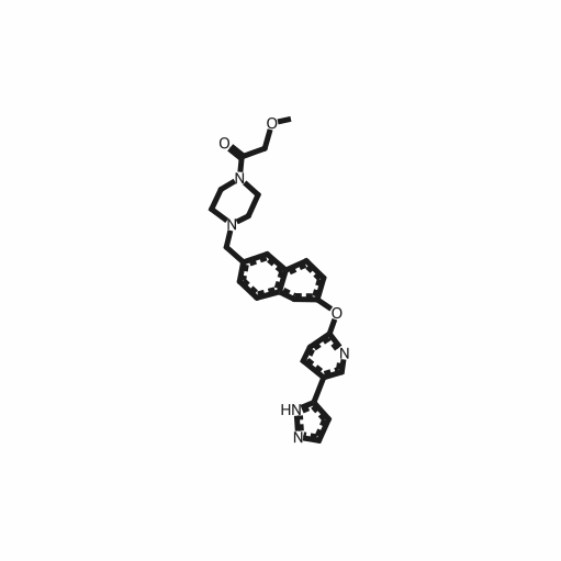 COCC(=O)N1CCN(Cc2ccc3cc(Oc4ccc(-c5ccn[nH]5)cn4)ccc3c2)CC1